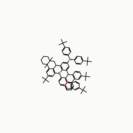 CC(C)(C)c1ccc(N(c2ccc(C(C)(C)C)cc2)c2cc3c4c(c2)C(c2ccc(C(C)(C)C)cc2-c2ccccc2)c2c(ccc5oc6cc(C(C)(C)C)ccc6c25)B4c2cc(C(C)(C)C)cc4c2C3CC2(C)CCCCC42C)cc1